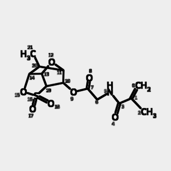 C=C(C)C(=O)NCC(=O)OC1C2OC3C(OS(=O)(=O)C13)C2C